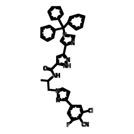 CC(Cn1ccc(-c2cc(F)c(C#N)c(Cl)c2)n1)NC(=O)c1cc(-c2cn(C(c3ccccc3)(c3ccccc3)c3ccccc3)cn2)n[nH]1